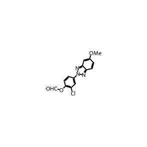 COc1ccc2nn(-c3ccc(O[C]=O)c(Cl)c3)nc2c1